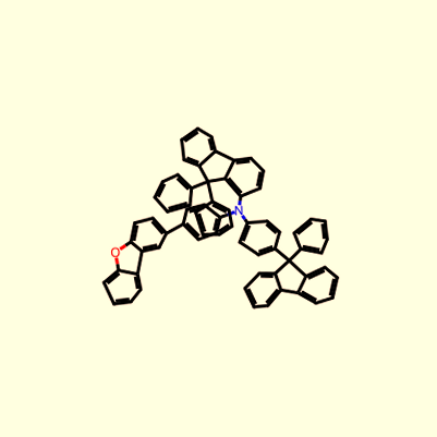 c1ccc(C2(c3ccc(N(c4ccc(-c5ccc6oc7ccccc7c6c5)cc4)c4cccc5c4C(c4ccccc4)(c4ccccc4)c4ccccc4-5)cc3)c3ccccc3-c3ccccc32)cc1